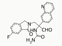 NC(=O)NC(C=O)(CN1Cc2ccc(F)cc2C1=O)c1ccc2cccnc2c1